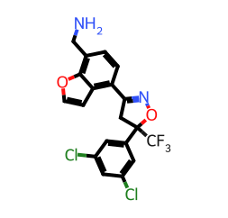 NCc1ccc(C2=NOC(c3cc(Cl)cc(Cl)c3)(C(F)(F)F)C2)c2ccoc12